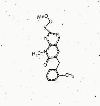 COOSc1ncc2cc(Cc3ccccc3C)c(=O)n(C)c2n1